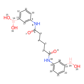 O=C(CCCCC(=O)Nc1cccc(B(O)O)c1)Nc1cccc(BO)c1